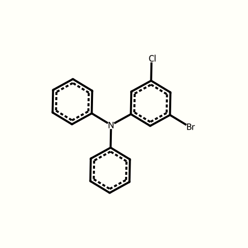 Clc1cc(Br)cc(N(c2ccccc2)c2ccccc2)c1